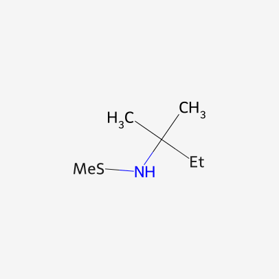 CCC(C)(C)NSC